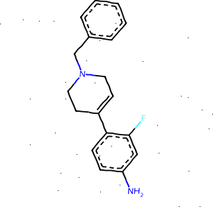 Nc1ccc(C2=CCN(Cc3ccccc3)CC2)c(F)c1